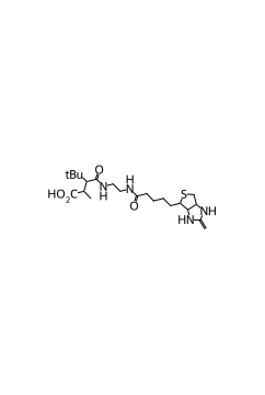 C=C1NC2CSC(CCCCC(=O)NCCNC(=O)C(C(C)C(=O)O)C(C)(C)C)C2N1